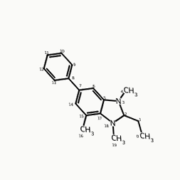 CCC1N(C)c2cc(-c3ccccc3)cc(C)c2N1C